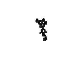 COc1cc(OC)c2c(=O)cc(-c3cc(C)c(OC[C@H]4CO4)c(C)c3)oc2c1